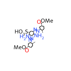 COC(=O)c1ccc(C)c(/N=N/c2cc(S(=O)(=O)O)c(N)c(/N=N/c3cc(C(=O)OC)ccc3C)c2N)c1